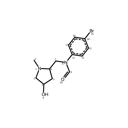 CN1CC(O)CC1CN(C=O)c1ccc(Br)cc1